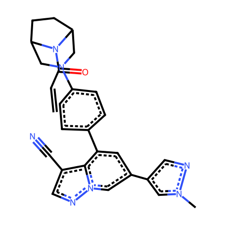 C=CC(=O)N1C2CCC1CN(c1ccc(-c3cc(-c4cnn(C)c4)cn4ncc(C#N)c34)cc1)C2